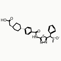 C[S+]([O-])C(c1ccccc1)c1nnc(NC(=O)c2ccc([C@H]3CC[C@H](CC(=O)O)CC3)cc2)s1